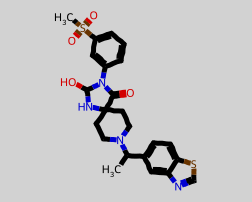 CC(c1ccc2scnc2c1)N1CCC2(CC1)NC(O)N(c1cccc(S(C)(=O)=O)c1)C2=O